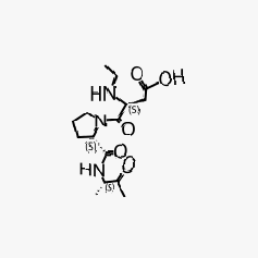 CCN[C@@H](CC(=O)O)C(=O)N1CCC[C@H]1C(=O)N[C@@H](C)C(C)=O